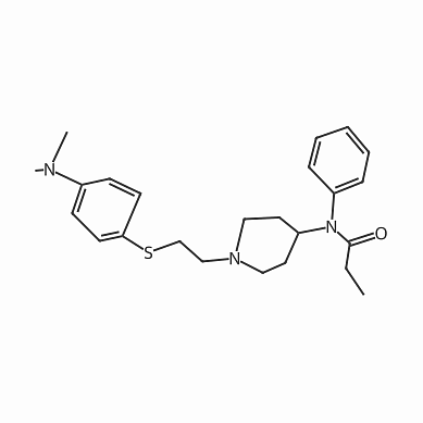 CCC(=O)N(c1ccccc1)C1CCN(CCSc2ccc(N(C)C)cc2)CC1